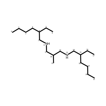 CCCCC(CC)CNCC(C)CNCC(CC)CCCC